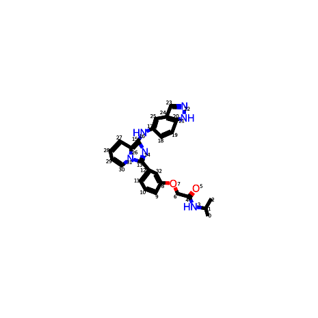 CC(C)NC(=O)COc1cccc(-c2nc(Nc3ccc4[nH]ncc4c3)c3ccccn23)c1